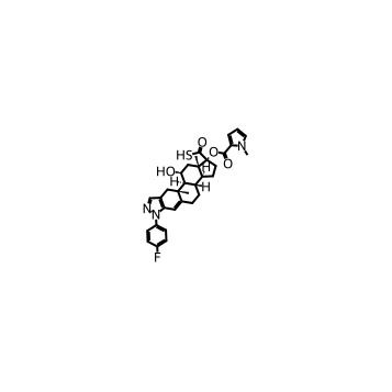 Cn1cccc1C(=O)O[C@]1(C(=O)S)CC[C@H]2[C@@H]3CCC4=Cc5c(cnn5-c5ccc(F)cc5)C[C@]4(C)[C@H]3[C@@H](O)C[C@@]21C